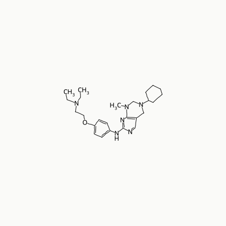 CCN(CC)CCOc1ccc(Nc2ncc3c(n2)N(C)CN(C2CCCCC2)C3)cc1